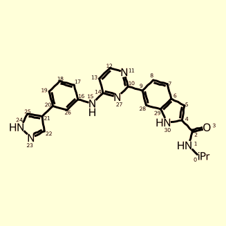 CC(C)NC(=O)c1cc2ccc(-c3nccc(Nc4cccc(-c5cn[nH]c5)c4)n3)cc2[nH]1